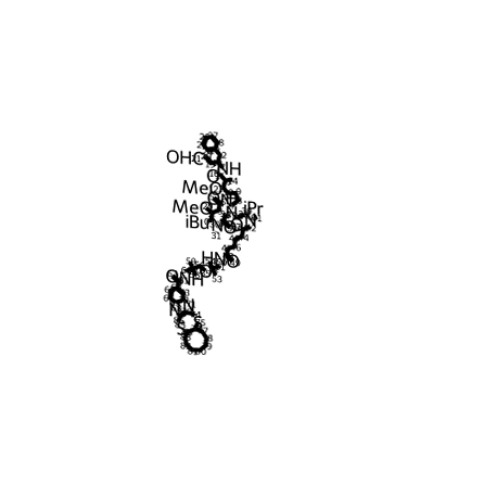 CCC(C)C(C(CC(=O)N1CCCC1C(OC)C(C)C(=O)NC(/C=C/C=O)Cc1ccccc1)OC)N(C)C(=O)CNC(=O)C(C(C)C)N(C)CCCCCCC(=O)NCC(C)(C)OCC(C)(C)CNC(=O)c1ccc2nc3c(nc2c1)CSC1CCCCCCCC1SC3